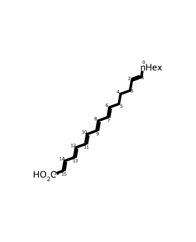 CCCCCCC=CCCCC=CC=CC=CC=CC=CC(=O)O